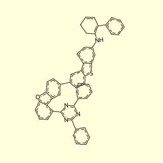 C1=CC(c2ccccc2)=C(Nc2ccc3c(c2)sc2ccc(-c4ccc5oc6cccc(-c7nc(-c8ccccc8)nc(-c8ccccc8)n7)c6c5c4)cc23)CC1